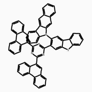 c1ccc2cc3c(cc2c1)c1ccccc1n3-c1cc2c(cc1-c1nc(-c3cc4ccccc4c4ccccc34)nc(-c3cc4ccccc4c4ccccc34)n1)sc1ccccc12